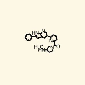 CN[C@@H]1CCN(C(=O)c2cccc(-c3cnc4[nH]c(-c5ccccc5)cc4c3)n2)C1